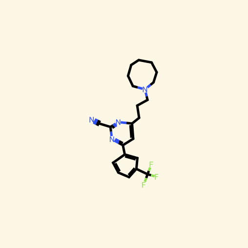 N#Cc1nc(CCCN2CCCCCCC2)cc(-c2cccc(C(F)(F)F)c2)n1